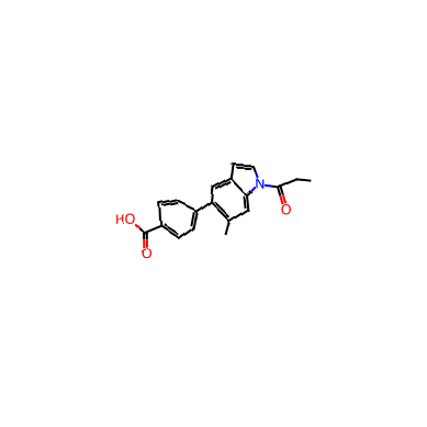 CCC(=O)n1ccc2cc(-c3ccc(C(=O)O)cc3)c(C)cc21